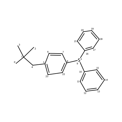 CC(C)(C)Cc1ccc([S+](c2ccccc2)c2ccccc2)cc1